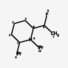 CC(C)C1CCCC(C(C)F)N1C(C)C